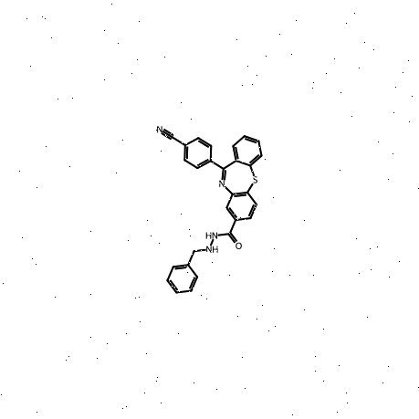 N#Cc1ccc(C2=Nc3cc(C(=O)NNCc4ccccc4)ccc3Sc3ccccc32)cc1